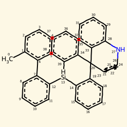 Cc1ccccc1-c1ccccc1[SiH]1c2ccccc2C2(c3ccccc3Nc3ccccc32)c2ccccc21